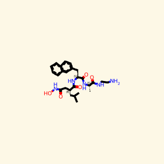 CC(C)C[C@H](CC(=O)NO)C(=O)N[C@@H](Cc1ccc2ccccc2c1)C(=O)N[C@@H](C)C(=O)NCCN